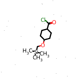 C[Si](C)(C)COC1CCC(C(=O)Cl)CC1